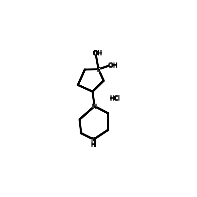 Cl.OS1(O)CCC(N2CCNCC2)C1